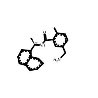 Cc1ccc(CN)cc1C(=O)N[C@H](C)c1cccc2ccccc12